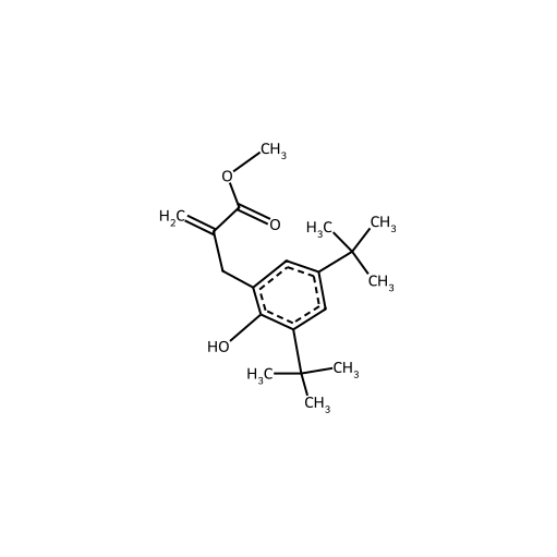 C=C(Cc1cc(C(C)(C)C)cc(C(C)(C)C)c1O)C(=O)OC